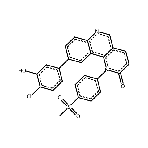 CS(=O)(=O)c1ccc(-n2c(=O)ccc3cnc4ccc(-c5ccc(Cl)c(O)c5)cc4c32)cc1